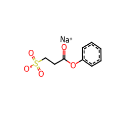 O=C(CCS(=O)(=O)[O-])Oc1ccccc1.[Na+]